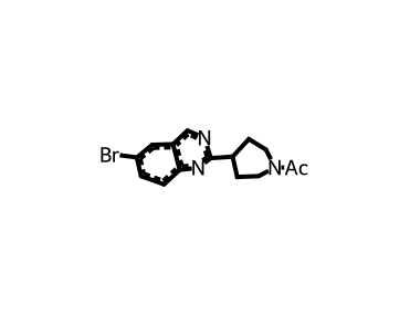 CC(=O)N1CCC(c2ncc3cc(Br)ccc3n2)CC1